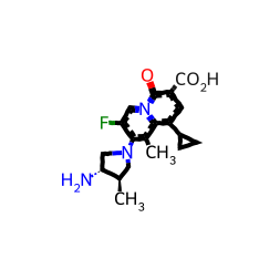 Cc1c(N2C[C@@H](C)[C@H](N)C2)c(F)cn2c(=O)c(C(=O)O)cc(C3CC3)c12